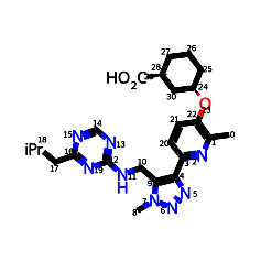 Cc1nc(-c2nnn(C)c2CNc2ncnc(CC(C)C)n2)ccc1O[C@H]1CCC[C@H](C(=O)O)C1